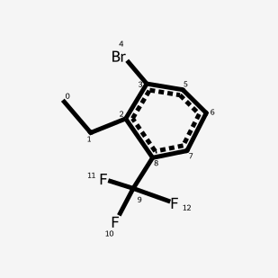 CCc1c(Br)cccc1C(F)(F)F